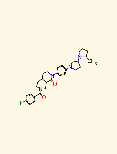 C[C@H]1CCCN1[C@H]1CCN(c2ccc(N3CCC4CCN(C(=O)c5ccc(F)cc5)CC4C3=O)cc2)C1